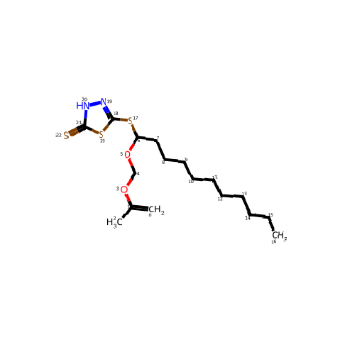 C=C(C)OCOC(CCCCCCCCCC)Sc1n[nH]c(=S)s1